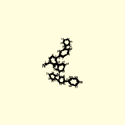 N#Cc1ccc(-c2ccc3oc4ccccc4c3c2)c2c1sc1c(-n3c4ccccc4c4ccc(-c5ccccc5)cc43)cccc12